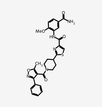 COc1ccc(C(N)=O)cc1NC(=O)c1csc(C2CCN(C(=O)c3c(-c4ccccc4)noc3C)CC2)n1